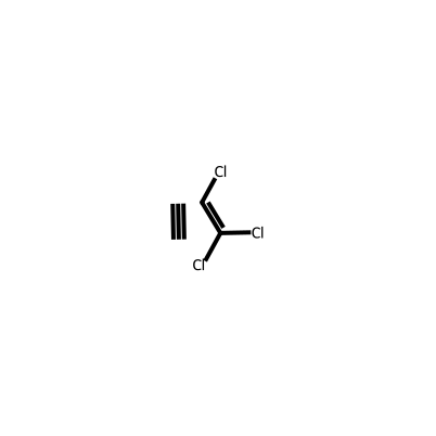 C#C.ClC=C(Cl)Cl